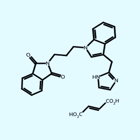 O=C(O)C=CC(=O)O.O=C1c2ccccc2C(=O)N1CCCn1cc(Cc2ncc[nH]2)c2ccccc21